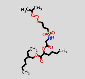 CCCCC(CC)COC(=O)C(CCCC)OC(=O)CNS(=O)(=O)CCCSOOC(C)C